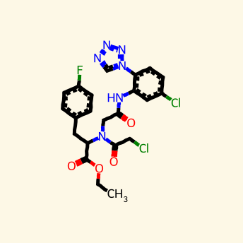 CCOC(=O)C(Cc1ccc(F)cc1)N(CC(=O)Nc1cc(Cl)ccc1-n1cnnn1)C(=O)CCl